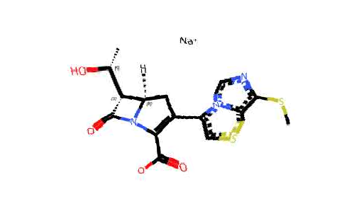 CSc1ncn2c(C3=C(C(=O)[O-])N4C(=O)[C@H]([C@@H](C)O)[C@H]4C3)csc12.[Na+]